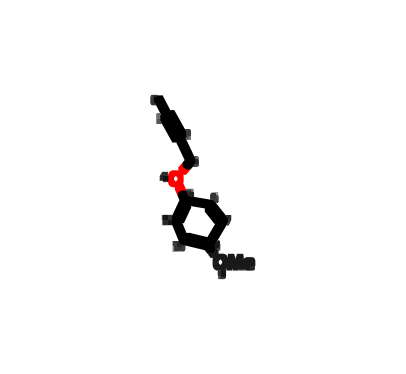 CC#CCOc1ccc(OC)cc1